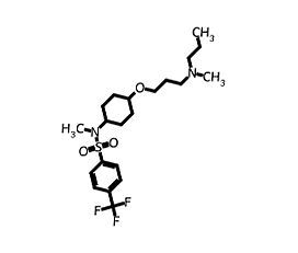 CCCN(C)CCCOC1CCC(N(C)S(=O)(=O)c2ccc(C(F)(F)F)cc2)CC1